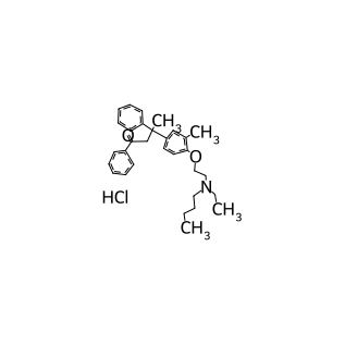 CCCCN(CC)CCOc1ccc(C(C)(CC(=O)c2ccccc2)c2ccccc2)cc1C.Cl